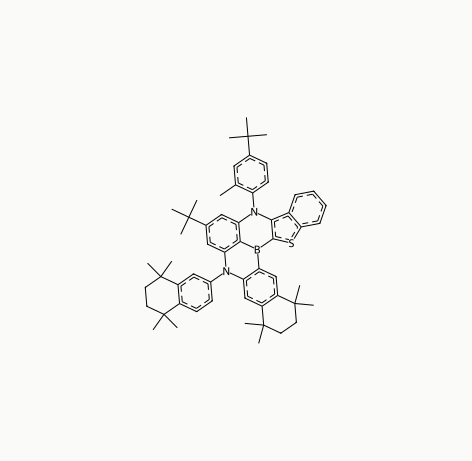 Cc1cc(C(C)(C)C)ccc1N1c2cc(C(C)(C)C)cc3c2B(c2cc4c(cc2N3c2ccc3c(c2)C(C)(C)CCC3(C)C)C(C)(C)CCC4(C)C)c2sc3ccccc3c21